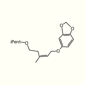 CCCC(C)OCCC(C)=CCOc1ccc2c(c1)OCO2